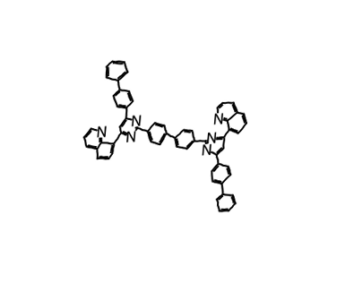 c1ccc(-c2ccc(-c3cc(-c4cccc5cccnc45)nc(-c4ccc(-c5ccc(-c6nc(-c7ccc(-c8ccccc8)cc7)cc(-c7cccc8cccnc78)n6)cc5)cc4)n3)cc2)cc1